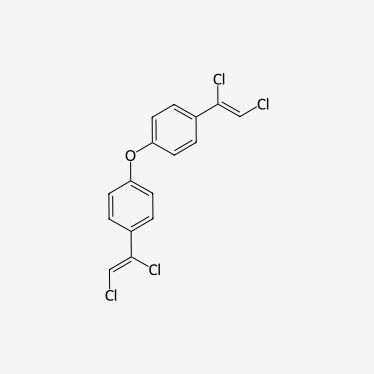 ClC=C(Cl)c1ccc(Oc2ccc(C(Cl)=CCl)cc2)cc1